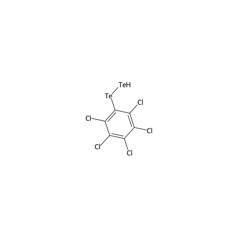 Clc1c(Cl)c(Cl)c([Te][TeH])c(Cl)c1Cl